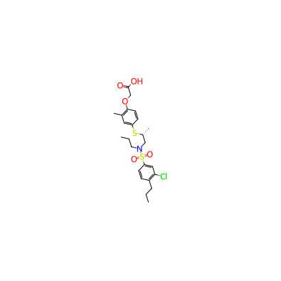 CCCc1ccc(S(=O)(=O)N(CCC)C[C@@H](C)Sc2ccc(OCC(=O)O)c(C)c2)cc1Cl